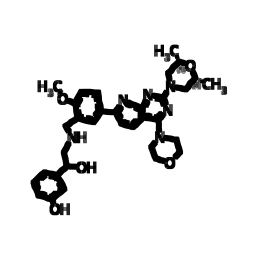 COc1ccc(-c2ccc3c(N4CCOCC4)nc(N4C[C@@H](C)O[C@@H](C)C4)nc3n2)cc1CNCC(O)c1cccc(O)c1